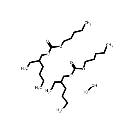 CCCCCOC(=O)OCC(CC)CCCC.CCCCCOC(=O)OCC(CC)CCCC.OO